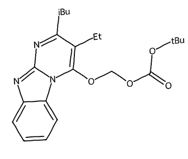 CCc1c(C(C)CC)nc2nc3ccccc3n2c1OCOC(=O)OC(C)(C)C